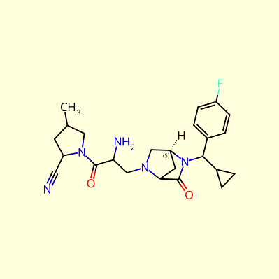 CC1CC(C#N)N(C(=O)C(N)CN2C[C@@H]3CC2C(=O)N3C(c2ccc(F)cc2)C2CC2)C1